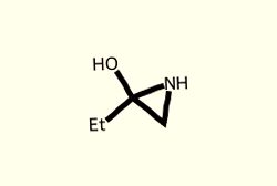 CCC1(O)CN1